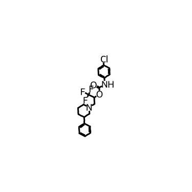 O=C(Nc1ccc(Cl)cc1)OC(CN1CCCC(c2ccccc2)C1)C(F)(F)F